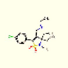 CCNCC1=C(c2ccc(Cl)cc2)S(=O)(=O)N(C)C1(CC)CC